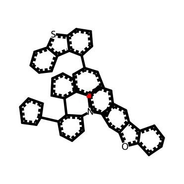 c1ccc(-c2ccccc2-c2c(-c3ccccc3)cccc2N(c2ccc(-c3cccc4sc5ccccc5c34)cc2)c2ccc3c(c2)oc2ccccc23)cc1